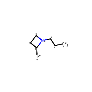 CC(C)[C@H]1CCN1CCC(F)(F)F